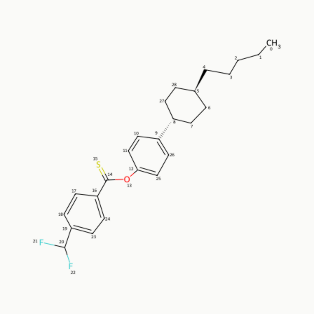 CCCCC[C@H]1CC[C@H](c2ccc(OC(=S)c3ccc(C(F)F)cc3)cc2)CC1